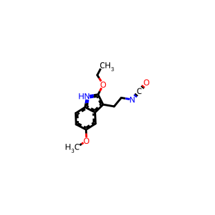 CCOc1[nH]c2ccc(OC)cc2c1CCN=C=O